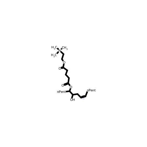 CCCCC/C=C\CC(O)C(CCCCC)OC(=O)CCCC(=O)OCC[N+](C)(C)C